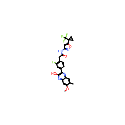 COc1cc2nc(O)c(-c3ccc(CC(=O)Nc4cc(C5(C(F)(F)F)CC5)on4)c(F)c3)nc2cc1C